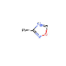 CCC1=NOC=[N+]1